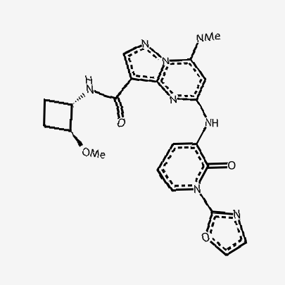 CNc1cc(Nc2cccn(-c3ncco3)c2=O)nc2c(C(=O)N[C@H]3CC[C@@H]3OC)cnn12